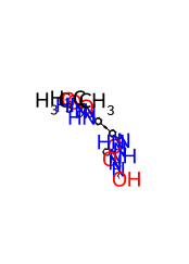 COCON[C@H](C(=O)N1CCC[C@H]1c1ncc(-c2ccc(C#Cc3ccc(-c4cnc([C@@H]5CCCN5C(=O)[C@@H](NC(=O)N5CCN(CCO)CC5)C5C=CC=CC5)[nH]4)cc3)cc2)[nH]1)C(C)C